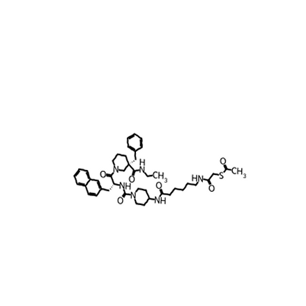 CCNC(=O)[C@]1(Cc2ccccc2)CCCN(C(=O)[C@@H](Cc2ccc3ccccc3c2)NC(=O)N2CCC(NC(=O)CCCCCNC(=O)CSC(C)=O)CC2)C1